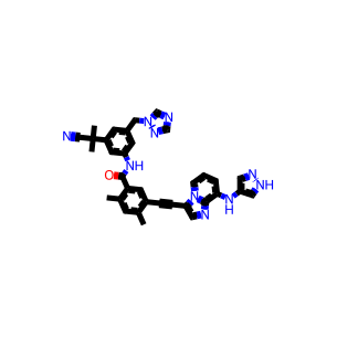 Cc1cc(C)c(C(=O)Nc2cc(Cn3cncn3)cc(C(C)(C)C#N)c2)cc1C#Cc1cnc2c(Nc3cn[nH]c3)cccn12